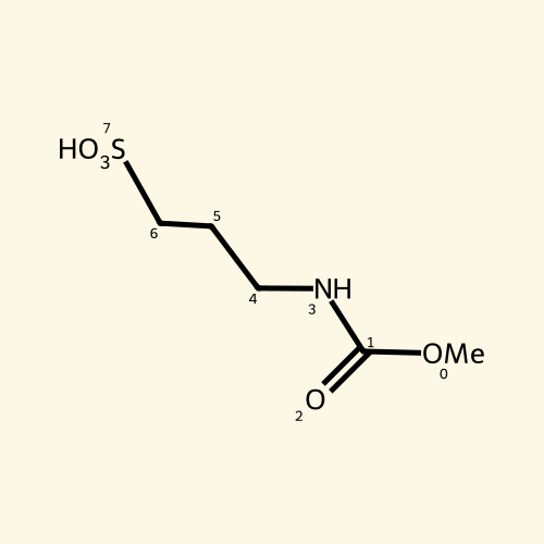 COC(=O)NCCCS(=O)(=O)O